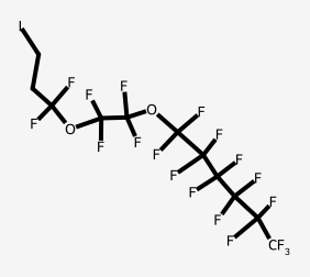 FC(F)(CCI)OC(F)(F)C(F)(F)OC(F)(F)C(F)(F)C(F)(F)C(F)(F)C(F)(F)C(F)(F)F